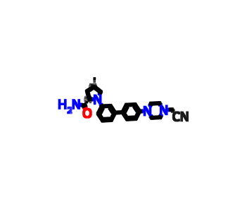 C[C@H]1C[C@@H](C(N)=O)N(c2cccc(-c3ccc(N4CCN(CC#N)CC4)cc3)c2)C1